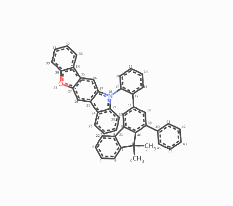 CC1(C)c2ccccc2-c2cc(-c3ccccc3-n3c4ccccc4c4cc5oc6ccccc6c5cc43)cc(-c3ccccc3)c21